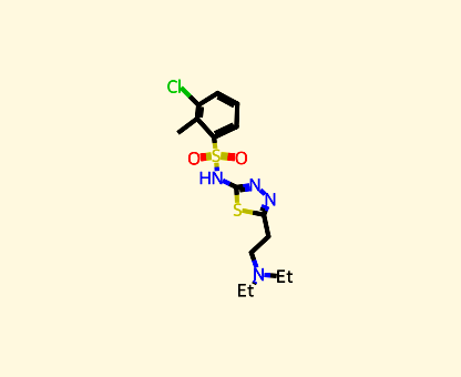 CCN(CC)CCc1nnc(NS(=O)(=O)c2cccc(Cl)c2C)s1